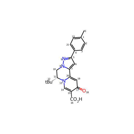 Cc1ccc(-c2cc3n(n2)C[C@@H](C(C)(C)C)n2cc(C(=O)O)c(=O)cc2-3)cc1